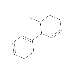 CC1CCC=CC1C1=CC=CCC1